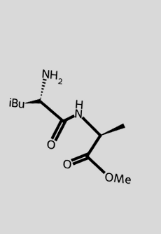 CC[C@H](C)[C@H](N)C(=O)N[C@@H](C)C(=O)OC